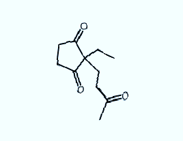 CCC1(CCC(C)=O)C(=O)CCC1=O